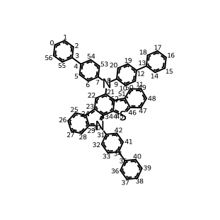 c1ccc(-c2ccc(N(c3ccc(-c4ccccc4)cc3)c3cc4c5ccccc5n(-c5ccc(-c6ccccc6)cc5)c4c4sc5ccccc5c34)cc2)cc1